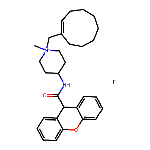 C[N+]1(CC2=CCCCCCCC2)CCC(NC(=O)C2c3ccccc3Oc3ccccc32)CC1.[I-]